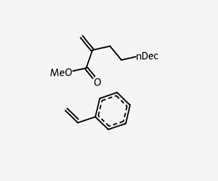 C=C(CCCCCCCCCCCC)C(=O)OC.C=Cc1ccccc1